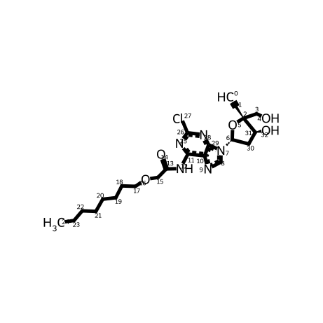 C#C[C@]1(CO)O[C@@H](n2cnc3c(NC(=O)COCCCCCCCC)nc(Cl)nc32)C[C@@H]1O